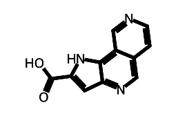 O=C(O)c1cc2ncc3ccncc3c2[nH]1